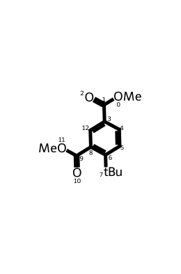 COC(=O)c1ccc(C(C)(C)C)c(C(=O)OC)c1